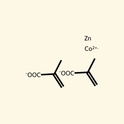 C=C(C)C(=O)[O-].C=C(C)C(=O)[O-].[Co+2].[Zn]